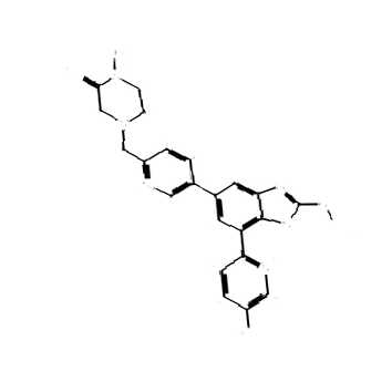 CCOC(=O)Nc1nc2cc(-c3ccc(CN4CCN(C(C)C)C(=O)C4)nc3)cc(-c3ccc(F)cn3)c2[nH]1